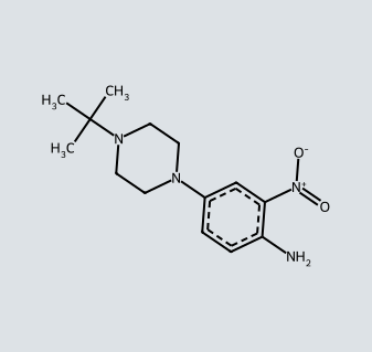 CC(C)(C)N1CCN(c2ccc(N)c([N+](=O)[O-])c2)CC1